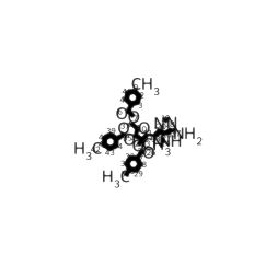 Cc1ccc(C(=O)OCC2O[C@@H](c3n[nH]c4c(N)ncnc34)[C@](C)(OC(=O)c3ccc(C)cc3)[C@@H]2OC(=O)c2ccc(C)cc2)cc1